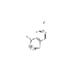 CC(O)c1cc(Cl)ccc1CN